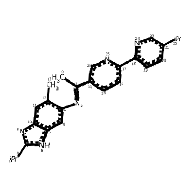 C/C(=N\c1cc2[nH]c(C(C)C)nc2cc1C)c1ccc(-c2ccc(C(C)C)cn2)nc1